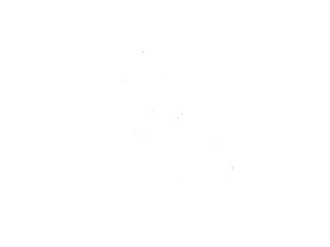 CSc1cc2c(cc1CO)C(S(C)(=O)=O)COC2